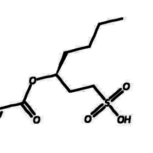 C=CC(=O)O[C@@H](CCCC)CCS(=O)(=O)O